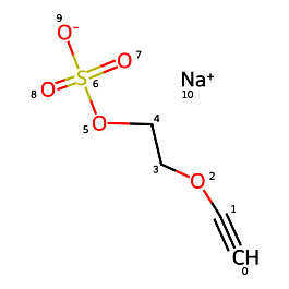 C#COCCOS(=O)(=O)[O-].[Na+]